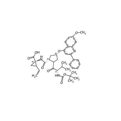 C=CC1C[C@]1(NC(=O)[C@@H]1C[C@H](Oc2cc(-c3ccccc3)nc3cc(OC)ccc23)CC1C(=O)[C@@H](NC(=O)OC(C)(C)C)C(C)C)C(=O)O